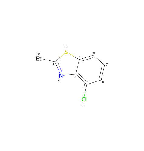 [CH2]Cc1nc2c(Cl)cccc2s1